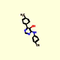 Cc1ccc(-c2ncnc(Nc3ccc(C#N)cc3)c2O)cc1